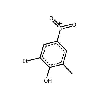 CCc1cc([SH](=O)=O)cc(C)c1O